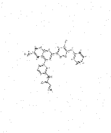 C=CC(=O)Nc1cccc(-c2cc(-c3ccc(Oc4cc#ccn4)c(F)c3)cc3cnc(N)nc23)c1